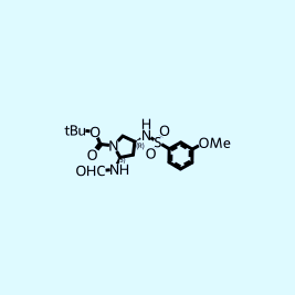 COc1cccc(S(=O)(=O)N[C@@H]2C[C@@H](NC=O)N(C(=O)OC(C)(C)C)C2)c1